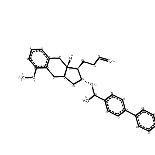 COc1cccc2c1CC1C[C@@H](OC(O)c3ccc(-c4ccccc4)cc3)[C@H](CCC=O)[C@H]1C2